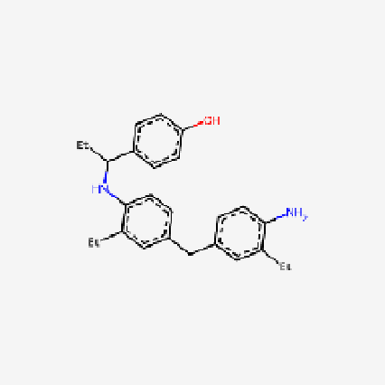 CCc1cc(Cc2ccc(NC(CC)c3ccc(O)cc3)c(CC)c2)ccc1N